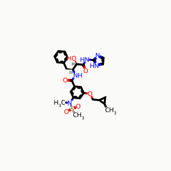 CC1CC1COc1cc(C(=O)N[C@@H](Cc2ccccc2)[C@@H](O)C(=O)Nc2ncc[nH]2)cc(N(C)S(C)(=O)=O)c1